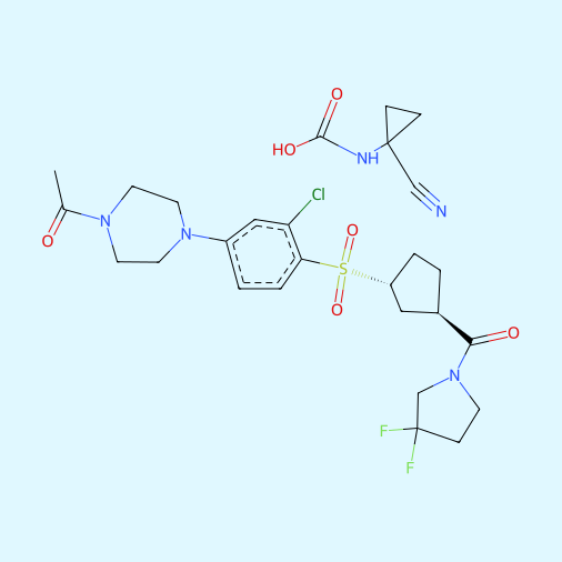 CC(=O)N1CCN(c2ccc(S(=O)(=O)[C@@H]3CC[C@@H](C(=O)N4CCC(F)(F)C4)C3)c(Cl)c2)CC1.N#CC1(NC(=O)O)CC1